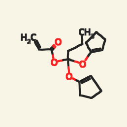 C=CC(=O)OC(CCC)(OC1=CCCC1)OC1=CCCC1